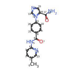 Cc1ccc(NC(=O)c2ccc(-n3cncc3C(N)=O)cc2)nc1